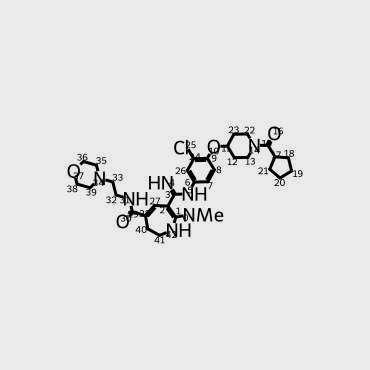 CNC1=C(C(=N)Nc2ccc(OC3CCN(C(=O)C4CCCC4)CC3)c(Cl)c2)C=C(C(=O)NCCN2CCOCC2)CCN1